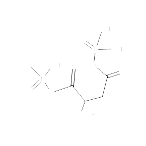 O=C(CC(C(=O)OP(=O)(O)O)S(=O)(=O)O)OP(=O)(O)O